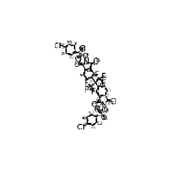 O=C1c2ccc(C(c3ccc4c(c3)C(=O)N(OS(=O)(=O)c3ccc(Cl)cc3)C4=O)(C(F)(F)F)C(F)(F)F)cc2C(=O)N1OS(=O)(=O)c1ccc(Cl)cc1